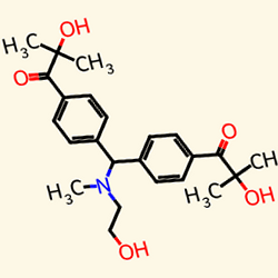 CN(CCO)C(c1ccc(C(=O)C(C)(C)O)cc1)c1ccc(C(=O)C(C)(C)O)cc1